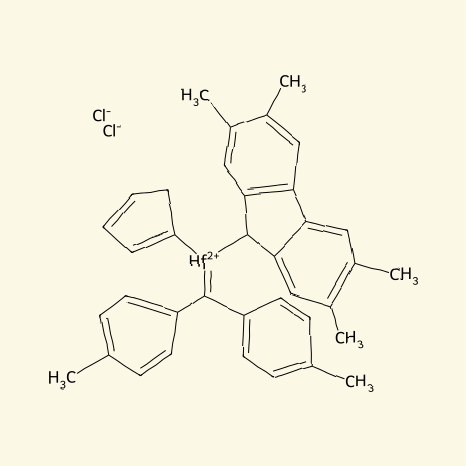 Cc1ccc([C](c2ccc(C)cc2)=[Hf+2]([C]2=CC=CC2)[CH]2c3cc(C)c(C)cc3-c3cc(C)c(C)cc32)cc1.[Cl-].[Cl-]